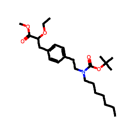 CCCCCCCN(CCc1ccc(CC(OCC)C(=O)OC)cc1)C(=O)OC(C)(C)C